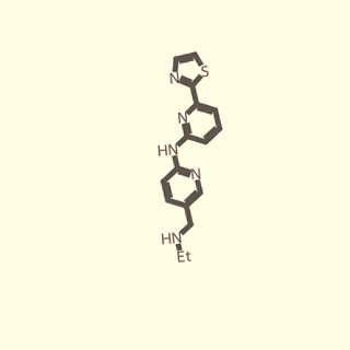 CCNCc1ccc(Nc2cccc(-c3nccs3)n2)nc1